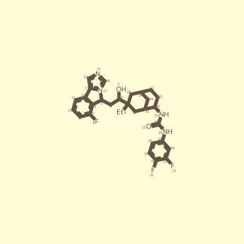 CCC1(C(O)CC2c3c(F)cccc3-c3cncn32)CC2CCC(NC(=O)Nc3ccc(F)c(F)c3)C(C2)C1